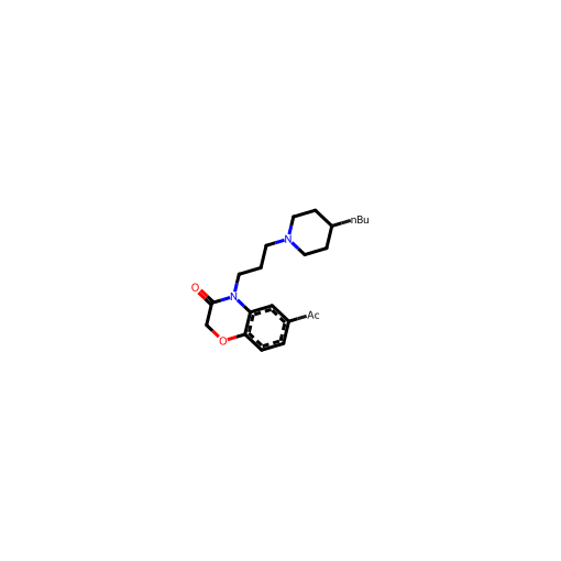 CCCCC1CCN(CCCN2C(=O)COc3ccc(C(C)=O)cc32)CC1